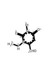 CCn1c(=O)cc(C=O)n(PC)c1=O